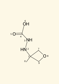 CC1(NNC(=O)O)COC1